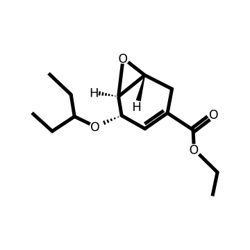 CCOC(=O)C1=C[C@H](OC(CC)CC)[C@H]2O[C@@H]2C1